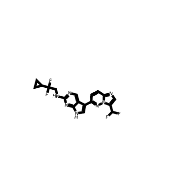 FC(F)c1cnc2ccc(-c3c[nH]c4nc(NCC(F)(F)C5CC5)ncc34)nn12